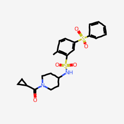 Cc1ccc(S(=O)(=O)c2ccccc2)cc1S(=O)(=O)NC1CCN(C(=O)C2CC2)CC1